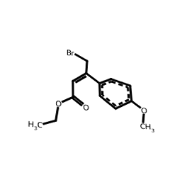 CCOC(=O)/C=C(/CBr)c1ccc(OC)cc1